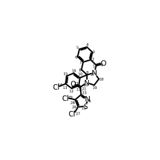 O=C1c2ccccc2CC2(c3ccc(Cl)cc3)N1CCN2C(=O)c1nsc(Cl)c1Cl